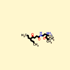 CCCC(CCC)C(=O)CCC(=O)NCCC(C)(N)C(=O)C(C)C